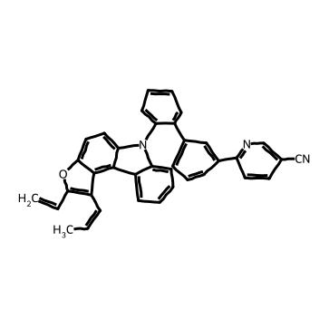 C=Cc1oc2ccc3c(c4ccccc4n3-c3ccccc3-c3cccc(-c4ccc(C#N)cn4)c3)c2c1/C=C\C